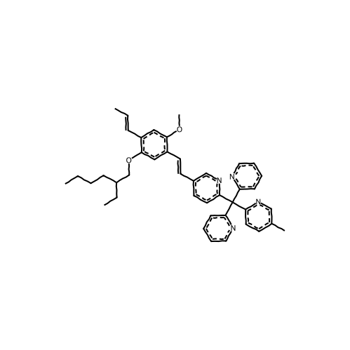 CC=Cc1cc(OC)c(C=Cc2ccc(C(c3ccccn3)(c3ccccn3)c3ccc(C)cn3)nc2)cc1OCC(CC)CCCC